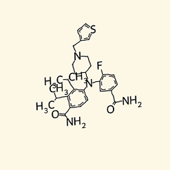 CC(C)c1c(C(N)=O)ccc(N(c2cc(C(N)=O)ccc2F)C2CCN(Cc3ccsc3)CC2)c1C(C)C